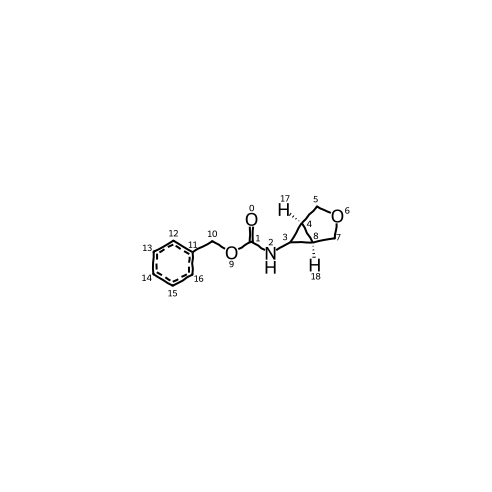 O=C(NC1[C@H]2COC[C@@H]12)OCc1ccccc1